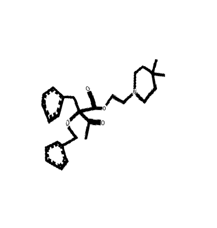 CC(=O)C(Cc1ccccc1)(OCc1ccccc1)C(=O)OCCN1CCC(C)(C)CC1